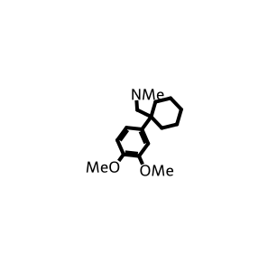 CNCC1(c2ccc(OC)c(OC)c2)CCCCC1